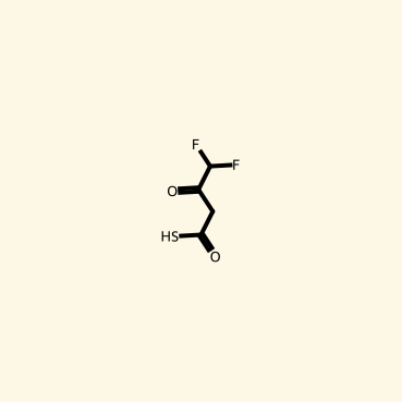 O=C(S)CC(=O)C(F)F